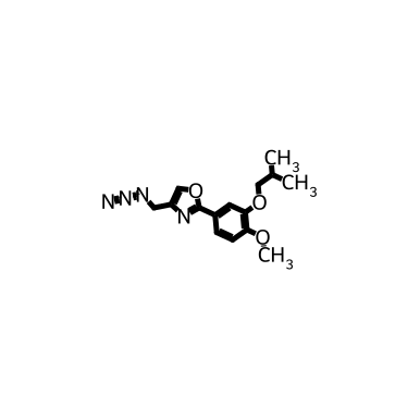 COc1ccc(-c2nc(CN=[N+]=[N-])co2)cc1OCC(C)C